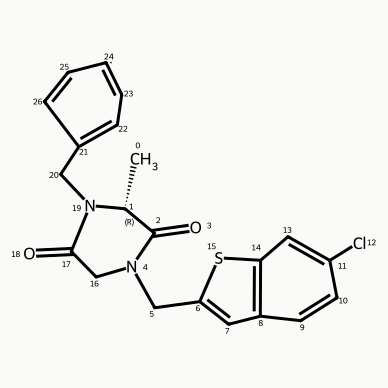 C[C@@H]1C(=O)N(Cc2cc3ccc(Cl)cc3s2)CC(=O)N1Cc1cc[c]cc1